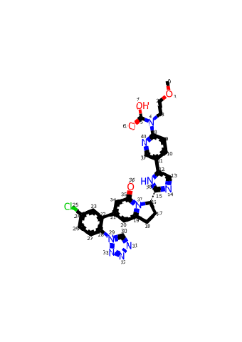 COCCN(C(=O)O)c1ccc(-c2cnc([C@@H]3CCc4cc(-c5cc(Cl)ccc5-n5cnnn5)cc(=O)n43)[nH]2)cn1